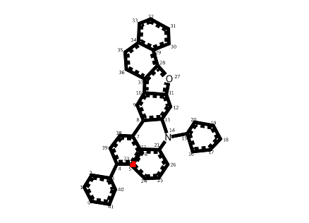 c1ccc(-c2ccc(-c3cc4c(cc3N(c3ccccc3)c3ccccc3)oc3c5ccccc5ccc43)cc2)cc1